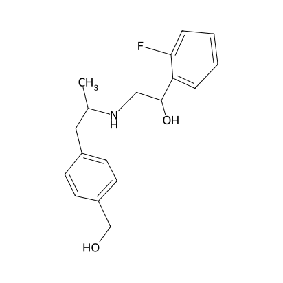 CC(Cc1ccc(CO)cc1)NCC(O)c1ccccc1F